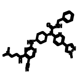 CN(C)CCNc1nc(N[C@H]2CC[C@H](N(C(=O)NCc3ccccc3)c3ccc(-c4cnn(C)c4)cn3)CC2)ncc1C#N